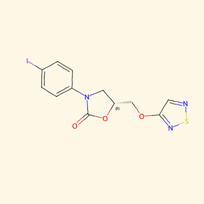 O=C1O[C@@H](COc2cnsn2)CN1c1ccc(I)cc1